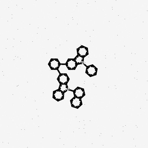 c1ccc(-n2c3ccccc3c3cc(-c4ccccc4-c4ccc5c(c4)c4ccccc4n5-c4cccc5ccccc45)ccc32)cc1